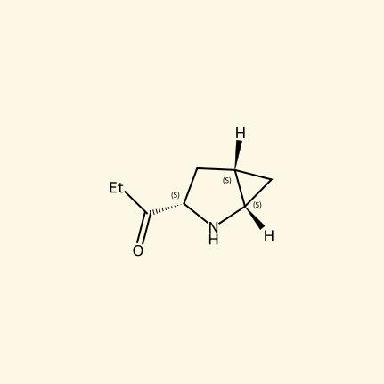 CCC(=O)[C@@H]1C[C@@H]2C[C@@H]2N1